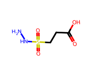 NNS(=O)(=O)CCC(=O)O